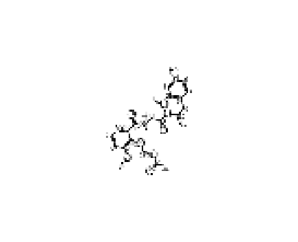 COc1cc(F)ccc1CC(C)OC(=O)CNC(=O)c1nccc(OC)c1OCOC(C)=O